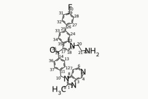 Cc1nc2cnccc2n1Cc1ccc(C(=O)c2cn(CCN)c3cc(-c4ccc(F)cc4)ccc23)cc1